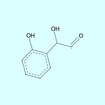 O=[C]C(O)c1ccccc1O